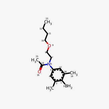 Bc1c(C)cc(N(CCOCCCC)C(C)=O)cc1C